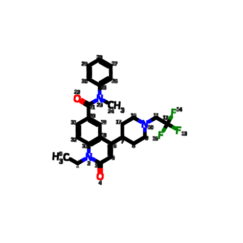 CCn1c(=O)cc(C2CCN(CC(F)(F)F)CC2)c2cc(C(=O)N(C)c3ccccc3)ccc21